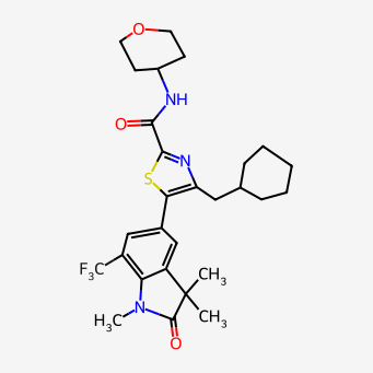 CN1C(=O)C(C)(C)c2cc(-c3sc(C(=O)NC4CCOCC4)nc3CC3CCCCC3)cc(C(F)(F)F)c21